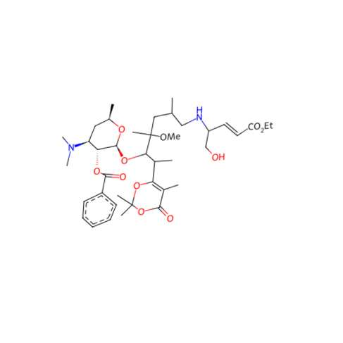 CCOC(=O)/C=C/C(CO)NCC(C)CC(C)(OC)C(O[C@@H]1O[C@H](C)C[C@H](N(C)C)[C@H]1OC(=O)c1ccccc1)C(C)C1=C(C)C(=O)OC(C)(C)O1